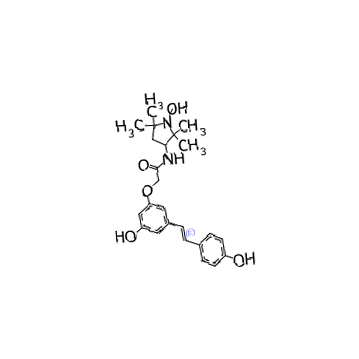 CC1(C)CC(NC(=O)COc2cc(O)cc(/C=C/c3ccc(O)cc3)c2)C(C)(C)N1O